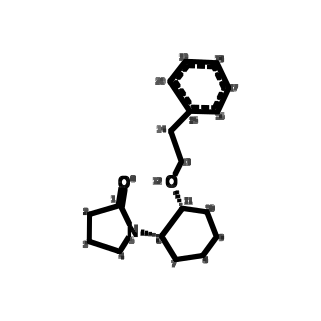 O=C1CCCN1[C@H]1CCCC[C@H]1OCCc1ccccc1